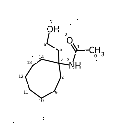 CC(=O)NC1(CCO)CCCCCCC1